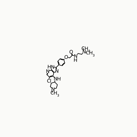 CN(C)CCNC(=O)COc1ccc(-c2nc3c(NC4CCN(C)CC4)c(Cl)cnc3[nH]2)cc1